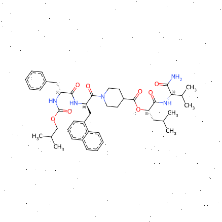 CC(C)COC(=O)N[C@H](Cc1ccccc1)C(=O)N[C@H](Cc1cccc2ccccc12)C(=O)N1CCC(C(=O)O[C@@H](CC(C)C)C(=O)N[C@H](C(N)=O)C(C)C)CC1